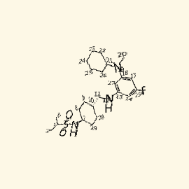 CC(C)S(=O)(=O)N[C@H]1CC[C@H](CNc2cc(F)cc(N(C)C3CCCCC3)c2)CC1